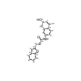 CC1=CC(O)Oc2cc(NC(=O)OCc3cc4ccccc4o3)ccc21